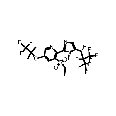 CCS(=O)(=O)c1cc(OC(C)(C)C(F)(F)F)cnc1-c1ncc([C@H](F)C(F)(C(F)(F)F)C(F)(F)F)n1C